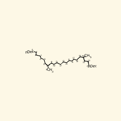 CCCCCCCCCCCCCCCCC(C)CCCCCCCCCCCC(C)CCCCCCCCCCCC